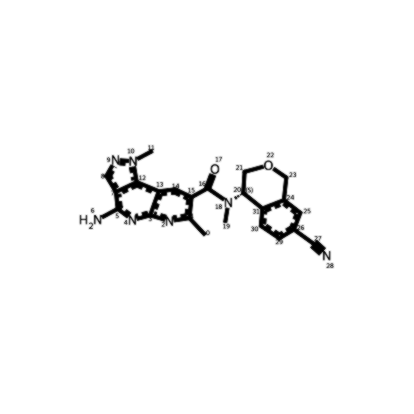 Cc1nc2nc(N)c3cnn(C)c3c2cc1C(=O)N(C)[C@@H]1COCc2cc(C#N)ccc21